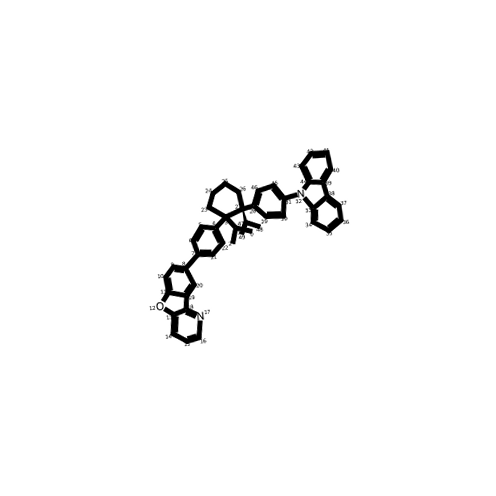 CC(C)C1(c2ccc(-c3ccc4oc5cccnc5c4c3)cc2)CCCC[C@@]1(c1ccc(-n2c3ccccc3c3ccccc32)cc1)C(C)C